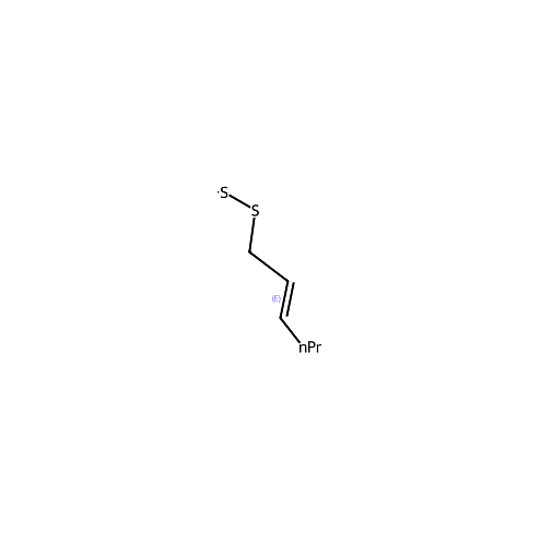 CCC/C=C/CS[S]